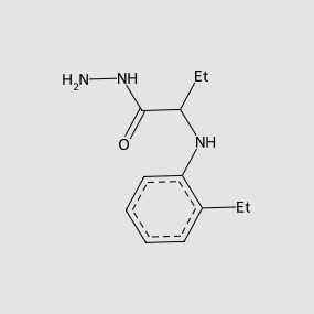 CCc1ccccc1NC(CC)C(=O)NN